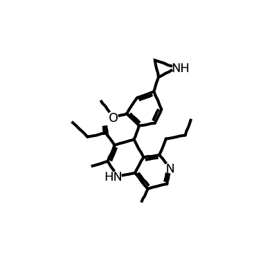 C=C(CC)C1=C(C)Nc2c(C)cnc(CCC)c2C1c1ccc(C2CN2)cc1OC